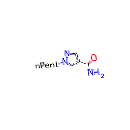 CCCCCn1cc(C(N)=O)cn1